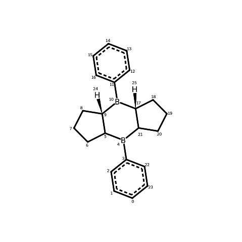 c1ccc(B2C3CCC[C@@H]3B(c3ccccc3)[C@@H]3CCCC23)cc1